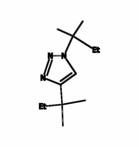 CCC(C)(C)c1cn(C(C)(C)CC)nn1